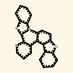 c1ccc2c(c1)nc1c3ncccc3c3c4c(ccc3n21)oc1ccccc14